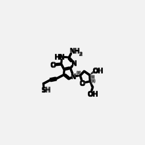 Nc1nc2c(c(C#CCS)cn2[C@H]2C[C@H](O)[C@@H](CO)O2)c(=O)[nH]1